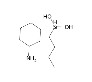 CCCC[SiH](O)O.NC1CCCCC1